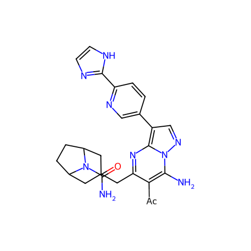 CC(=O)c1c(CC2CC3CCC(C2)N3C(N)=O)nc2c(-c3ccc(-c4ncc[nH]4)nc3)cnn2c1N